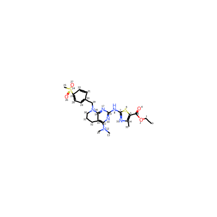 CCOC(=O)c1sc(Nc2nc(N(C)C)c3c(n2)N(Cc2ccc(S(C)(=O)=O)cc2)CCC3)nc1C